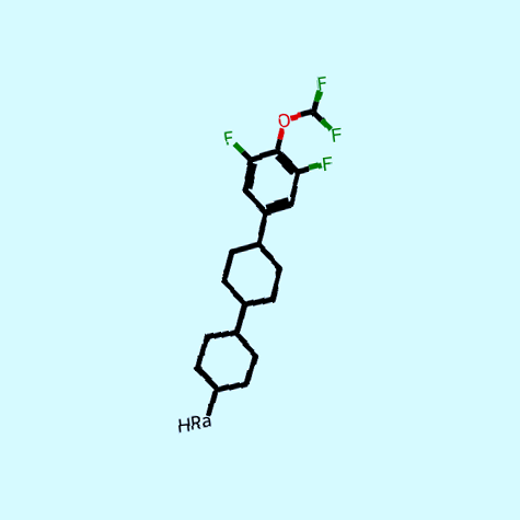 Fc1cc(C2CCC(C3CC[CH]([RaH])CC3)CC2)cc(F)c1OC(F)F